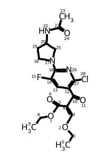 CCOC=C(C(=O)OCC)C(=O)c1cc(F)c(N2CCC(NC(C)=O)C2)nc1Cl